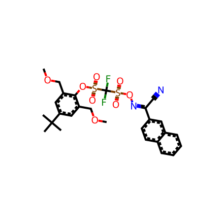 COCc1cc(C(C)(C)C)cc(COC)c1OS(=O)(=O)C(F)(F)S(=O)(=O)O/N=C(\C#N)c1ccc2ccccc2c1